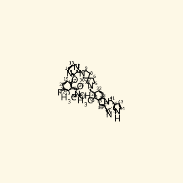 Cc1c(CN2CCC3(CCN(c4nccnc4Oc4ccc(F)cc4C(=O)N(C)C)C3)C2)ccc2c1cc(C#N)n2Cc1cc[nH]c1